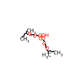 CCCCC(CC)COCCOCCOP(=O)(O)OCCOCCOCC(CC)CCCC